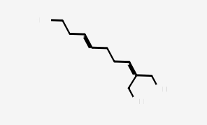 CCCC=CCCC=C(CC)CC